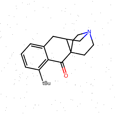 CC(C)(C)c1cccc2c1C(=O)C13CCN(CC1)CC3C2